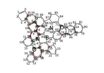 C1=CCCC(C2=CCCC(c3cccc(-c4cccc(C5=CC=CCC5)c4)c3N3c4cc(-c5ccccc5)cc5c4B(c4ccc6c(c43)Oc3ccccc3C6)c3ccc4c(oc6ccccc64)c3N5C3=C(C4=CC=CC(c5ccccc5)C4)CCC=C3c3cccc(-c4ccccc4)c3)=C2)=C1